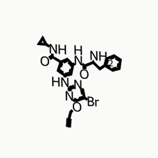 C#CCOc1nc(Nc2cc(NC(=O)[C@H](N)Cc3ccccc3)cc(C(=O)NC3CC3)c2)ncc1Br